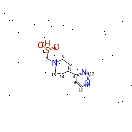 O=[SH](=O)CN1CCC(c2ccncn2)CC1